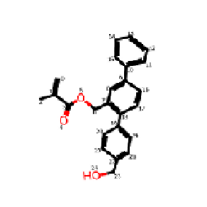 C=C(C)C(=O)OCc1cc(-c2ccccc2)ccc1-c1ccc(CO)cc1